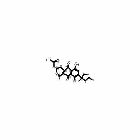 CCCC(C)(CC)c1cc(O)c2c(c1O)C(=O)C1=C(C[C@@H](CC(=O)O)O[C@@H]1C)C2=O